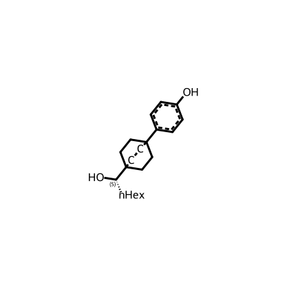 CCCCCC[C@H](O)C12CCC(c3ccc(O)cc3)(CC1)CC2